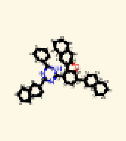 c1ccc(C2N=C(c3ccc4ccccc4c3)N=C(c3ccc(-c4ccc5ccccc5c4)c4oc5cc6ccccc6cc5c34)N2)cc1